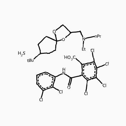 CCCN(CC)CC1COC2(CCC(C(C)(C)C)CC2)O1.O=C(O)c1c(Cl)c(Cl)c(Cl)c(Cl)c1C(=O)Nc1cccc(Cl)c1Cl.S